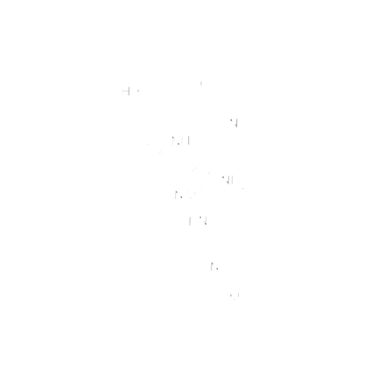 Cc1cc(C)cc(NC(=O)c2cccnc2SC(N)(C(=O)CNCCN2CCOCC2)c2ccncc2)c1